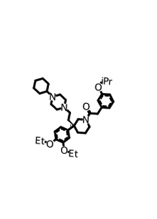 CCOc1ccc([C@@]2(CCN3CCN(C4CCCCC4)CC3)CCCN(C(=O)Cc3cccc(OC(C)C)c3)C2)cc1OCC